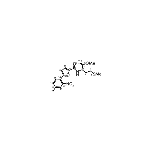 COC(=O)C(CCSC)NC(=O)c1ccc(-c2ccc(C)cc2[N+](=O)[O-])o1